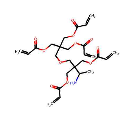 C=CC(=O)OCC(COCC(COC(=O)C=C)(COC(=O)C=C)C(C)N)(COC(=O)C=C)COC(=O)C=C